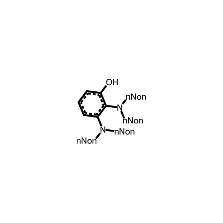 CCCCCCCCCN(CCCCCCCCC)c1cccc(O)c1N(CCCCCCCCC)CCCCCCCCC